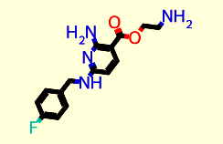 NCCOC(=O)c1ccc(NCc2ccc(F)cc2)nc1N